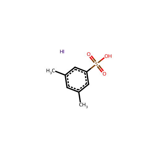 Cc1cc(C)cc(S(=O)(=O)O)c1.I